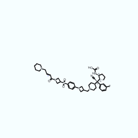 N#C[C@@](c1cccc(F)c1)(C1CCN(CC2CN(c3ccc(S(=O)(=O)C4CN(C(=O)/C=C/CN5CCCCC5)C4)cc3)C2)CC1)[C@H]1CCC[C@@H]1NC(=O)O